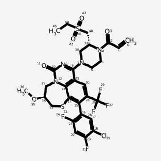 C=CC(=O)N1CCN(c2nc(=O)n3c4c(c(-c5cc(Cl)c(F)cc5F)c(C(F)(F)F)cc24)SC[C@@H](OC)C3)C[C@@H]1CS(=O)(=O)CC